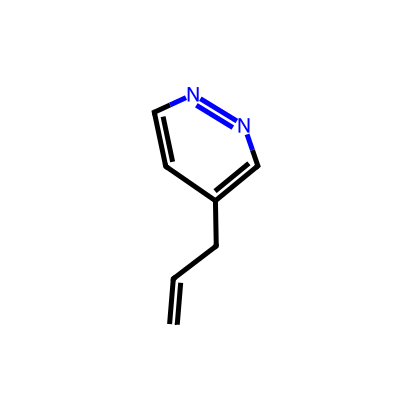 [CH]=CCc1ccnnc1